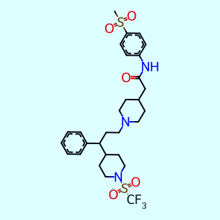 CS(=O)(=O)c1ccc(NC(=O)CC2CCN(CCC(c3ccccc3)C3CCN(S(=O)(=O)C(F)(F)F)CC3)CC2)cc1